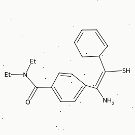 CCN(CC)C(=O)c1ccc(/C(N)=C(/S)C2C=CC=CC2)cc1